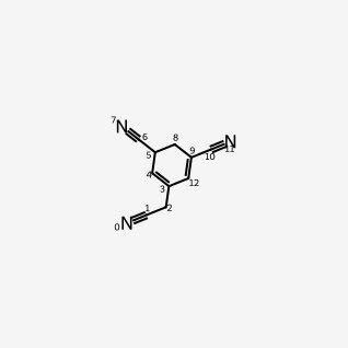 N#CCC1=CC(C#N)CC(C#N)=C1